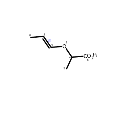 C/C=C/OC(C)C(=O)O